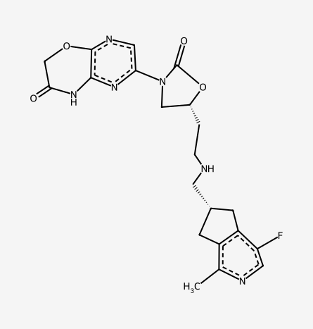 Cc1ncc(F)c2c1C[C@H](CNCC[C@@H]1CN(c3cnc4c(n3)NC(=O)CO4)C(=O)O1)C2